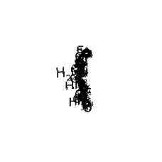 Cc1cc(Oc2ccccc2F)ncc1-n1ncc(C(=O)c2cc3cc(F)c(N4CC5(CCOCC5)NS4(=O)=O)cc3[nH]2)c1N